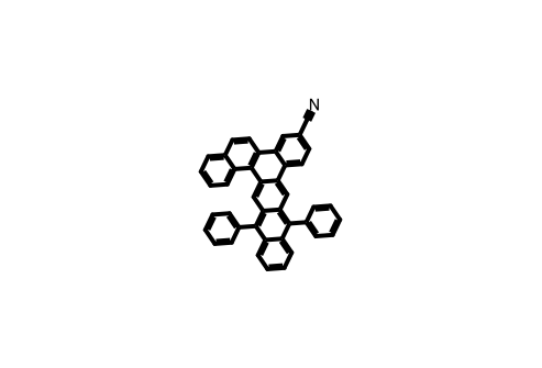 N#Cc1ccc2c(c1)c1ccc3ccccc3c1c1cc3c(-c4ccccc4)c4ccccc4c(-c4ccccc4)c3cc21